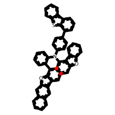 c1ccc(N(c2ccc(-c3cccc4c3sc3ccccc34)cc2)c2cccc3oc4ccccc4c23)c(-c2cccc3c2oc2cc4ccccc4cc23)c1